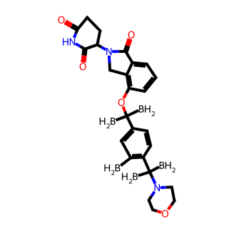 Bc1cc(C(B)(B)Oc2cccc3c2CN(C2CCC(=O)NC2=O)C3=O)ccc1C(B)(B)N1CCOCC1